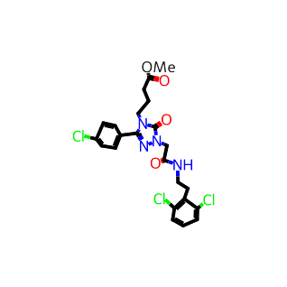 COC(=O)CCCn1c(-c2ccc(Cl)cc2)nn(CC(=O)NCCc2c(Cl)cccc2Cl)c1=O